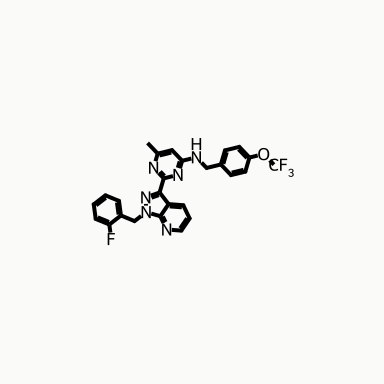 Cc1cc(NCc2ccc(OC(F)(F)F)cc2)nc(-c2nn(Cc3ccccc3F)c3ncccc23)n1